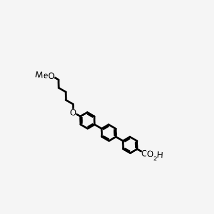 COCCCCCOc1ccc(-c2ccc(-c3ccc(C(=O)O)cc3)cc2)cc1